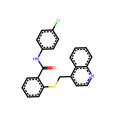 O=C(Nc1ccc(Cl)cc1)c1ccccc1SCc1ccnc2ccccc12